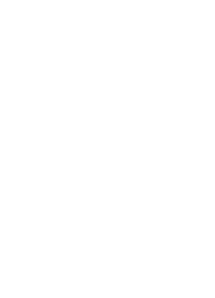 [C]1=CCOO1